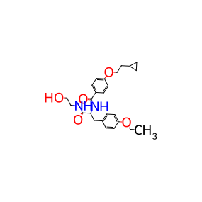 CCOc1ccc(CC(NC(=O)c2ccc(OCCC3CC3)cc2)C(=O)NCCO)cc1